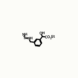 CCOC(=O)C(O)c1cccc(CNN=N)c1